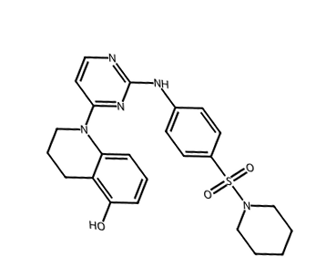 O=S(=O)(c1ccc(Nc2nccc(N3CCCc4c(O)cccc43)n2)cc1)N1CCCCC1